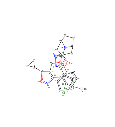 O=Cc1cccc(-c2nnc(N3C4CCC3CC(OCc3c(-c5c(Cl)cccc5Cl)noc3C3CC3)C4)o2)c1